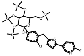 C[Si](C)(C)OCC1O[C@@](O)(c2ccc(Cl)c(Cc3ccc(-c4ccc(F)nc4)s3)c2)C(O[Si](C)(C)C)C(O[Si](C)(C)C)C1O[Si](C)(C)C